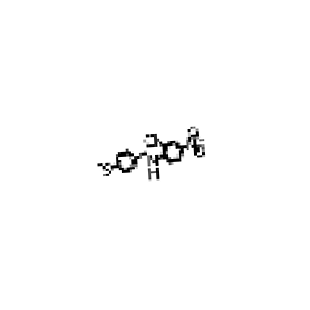 CSc1ccc(CNc2ccc([N+](=O)[O-])cc2Cl)cc1